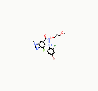 COCCCONC(=O)c1cc2c(ncn2C)c(F)c1Nc1ccc(Br)cc1Cl